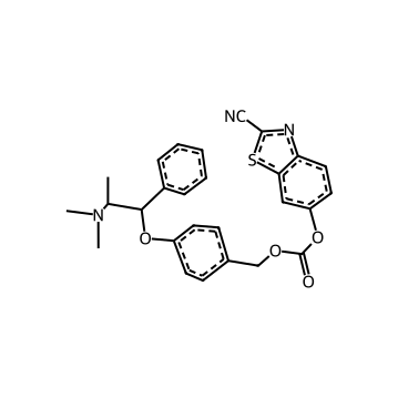 CC(C(Oc1ccc(COC(=O)Oc2ccc3nc(C#N)sc3c2)cc1)c1ccccc1)N(C)C